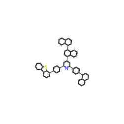 c1ccc2c(-c3ccc(-c4cc(-c5ccc(-c6cccc7ccccc67)c6ccccc56)cc(-c5ccc(-c6cccc7c6sc6ccccc67)cc5)n4)cc3)cccc2c1